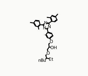 CCCCC(CC)COCC(O)COc1c[c]c(-c2nc(-c3ccc(C)cc3C)nc(-c3ccc(C)cc3C)n2)cc1